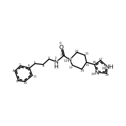 O=C(NCCCc1ccccc1)N1CCC(c2c[nH]cn2)CC1